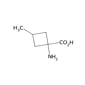 CC1CC(N)(C(=O)O)C1